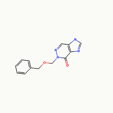 O=c1c2c(cnn1COCc1ccccc1)[N]C=N2